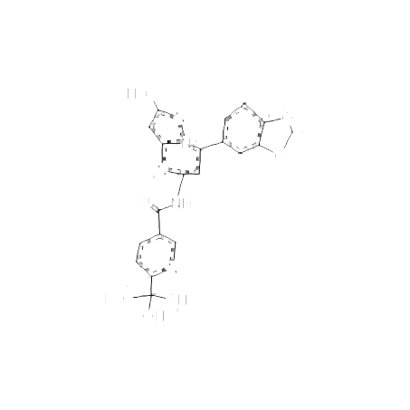 Cc1cc2nc(NC(=O)c3ccc(C(C)(C)O)nc3)cc(-c3ccc4c(c3)OCO4)n2n1